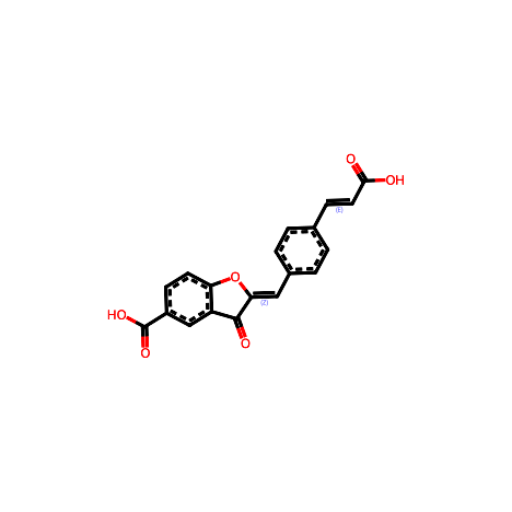 O=C(O)/C=C/c1ccc(/C=C2\Oc3ccc(C(=O)O)cc3C2=O)cc1